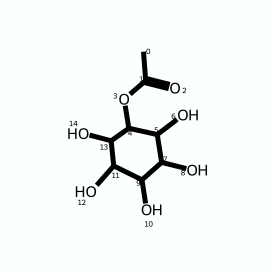 CC(=O)OC1C(O)C(O)C(O)C(O)C1O